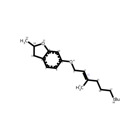 C/C(=C\COc1ccc2c(c1)OC(C)C2)CCCC(C)(C)C